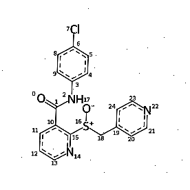 O=C(Nc1ccc(Cl)cc1)c1cccnc1[S+]([O-])Cc1ccncc1